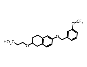 O=C(O)CCOC1CCc2cc(OCc3cccc(OC(F)(F)F)c3)ccc2C1